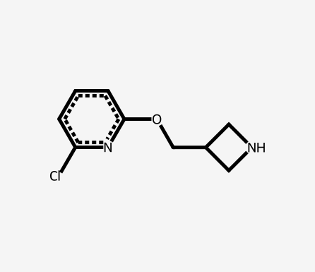 Clc1cccc(OCC2CNC2)n1